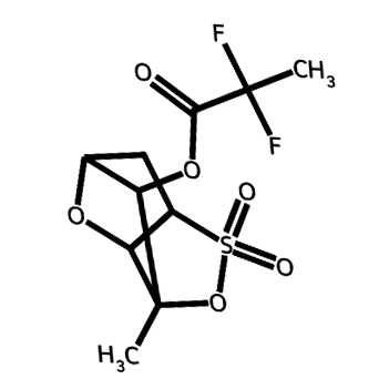 CC(F)(F)C(=O)OC1C2CC3C(O2)C1(C)OS3(=O)=O